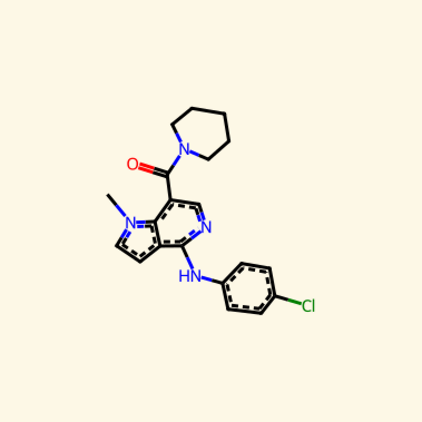 Cn1ccc2c(Nc3ccc(Cl)cc3)ncc(C(=O)N3CCCCC3)c21